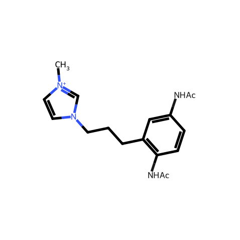 CC(=O)Nc1ccc(NC(C)=O)c(CCCn2cc[n+](C)c2)c1